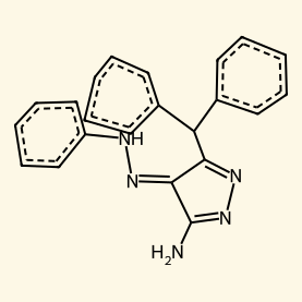 NC1=NN=C(C(c2ccccc2)c2ccccc2)/C1=N\Nc1ccccc1